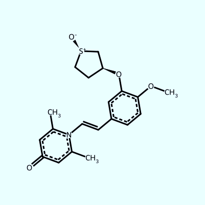 COc1ccc(/C=C/n2c(C)cc(=O)cc2C)cc1O[C@H]1CC[S@@+]([O-])C1